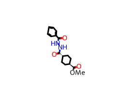 COC(=O)[C@H]1CC[C@H](C(=O)NNC(=O)c2ccccc2)CC1